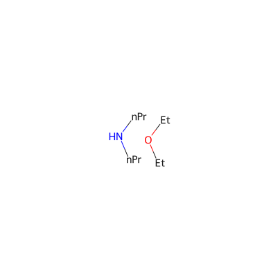 CCCNCCC.CCOCC